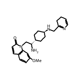 COc1ccc2ccc(=O)n(CC(N)[C@H]3CC[C@H](NCC4=NC=CCC4)CC3)c2c1